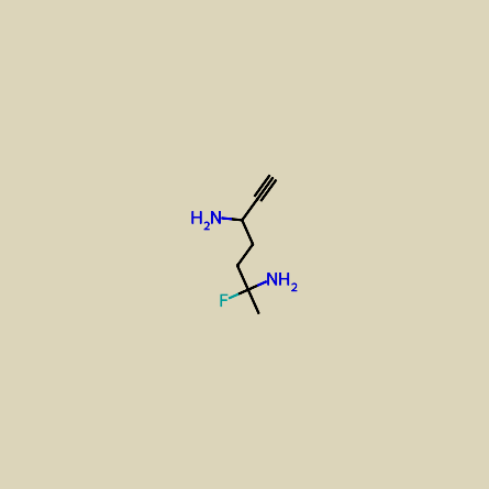 C#CC(N)CCC(C)(N)F